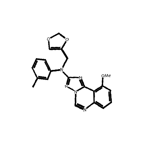 COc1cccc2ncn3nc(N(CC4=COCO4)c4cccc(C)c4)nc3c12